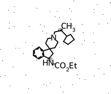 CCOC(=O)N[C@@H]1CC2(CCN(C[C@@H](C)C3CCCC3)CC2)c2ccccc21